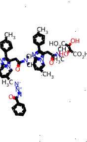 Cc1ccc(-c2nc3ccc(C)cn3c2CC(=O)N(C)C)cc1.Cc1ccc(-c2nc3ccc(C)cn3c2CC(=O)N(C)C)cc1.O=C(O)C(O)C(O)C(=O)O.[N-]=[N+]=NC(=O)c1ccccc1